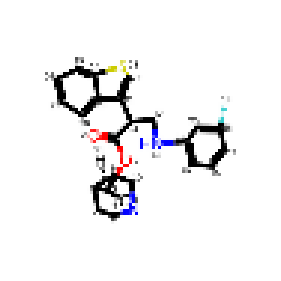 O=C(O[C@H]1CN2CCC1CC2)C(CNc1cccc(F)c1)c1csc2ccccc12